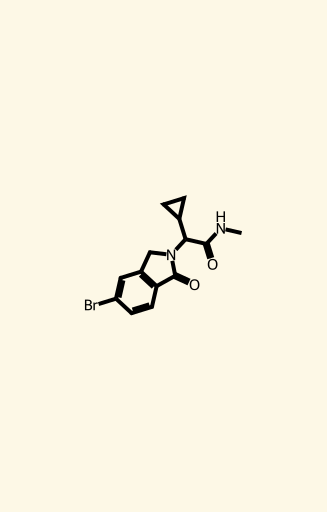 CNC(=O)C(C1CC1)N1Cc2cc(Br)ccc2C1=O